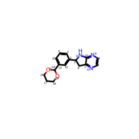 c1cc(C2Cc3nccnc3N2)cc(C2OCCCO2)c1